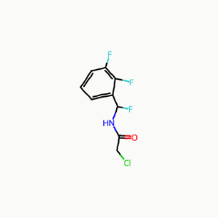 O=C(CCl)NC(F)c1cccc(F)c1F